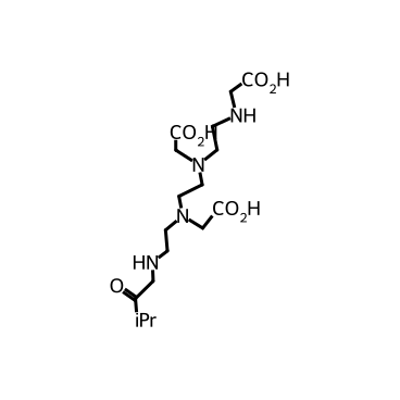 CC(C)C(=O)CNCCN(CCN(CCNCC(=O)O)CC(=O)O)CC(=O)O